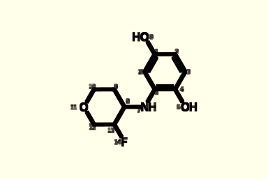 Oc1ccc(O)c(NC2CCO[CH]C2F)c1